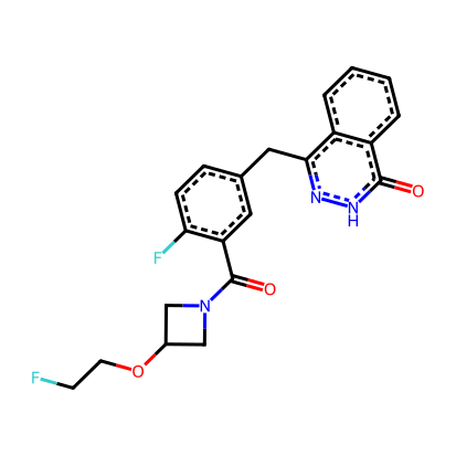 O=C(c1cc(Cc2n[nH]c(=O)c3ccccc23)ccc1F)N1CC(OCCF)C1